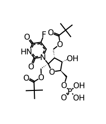 CC(C)(C)C(=O)OC[C@@H]1[C@H](O)[C@@H](COP(=O)(O)O)O[C@@]1(COC(=O)C(C)(C)C)n1cc(F)c(=O)[nH]c1=O